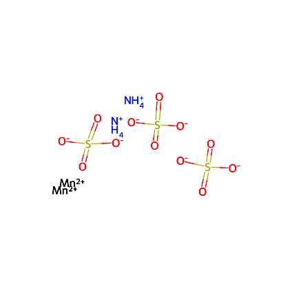 O=S(=O)([O-])[O-].O=S(=O)([O-])[O-].O=S(=O)([O-])[O-].[Mn+2].[Mn+2].[NH4+].[NH4+]